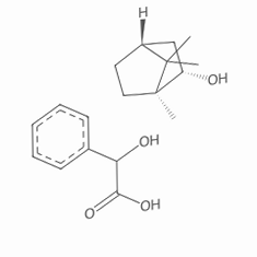 CC1(C)[C@@H]2CC[C@]1(C)[C@@H](O)C2.O=C(O)C(O)c1ccccc1